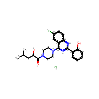 CC(C)CC(O)C(=O)N1CCN(c2nc(-c3ccccc3O)nc3ccc(F)cc23)CC1.Cl